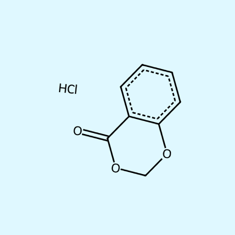 Cl.O=C1OCOc2ccccc21